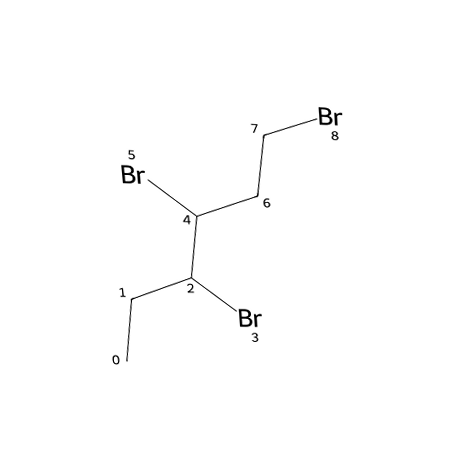 CCC(Br)C(Br)CCBr